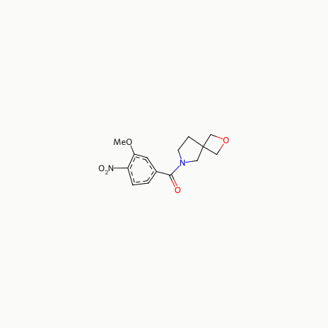 COc1cc(C(=O)N2CCC3(COC3)C2)ccc1[N+](=O)[O-]